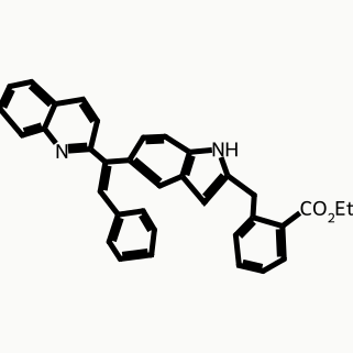 CCOC(=O)c1ccccc1Cc1cc2cc(C(=Cc3ccccc3)c3ccc4ccccc4n3)ccc2[nH]1